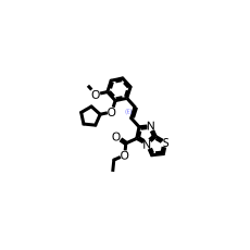 CCOC(=O)c1c(/C=C/c2cccc(OC)c2OC2CCCC2)nc2sccn12